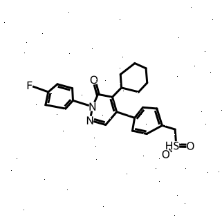 O=c1c(C2CCCCC2)c(-c2ccc(C[SH](=O)=O)cc2)cnn1-c1ccc(F)cc1